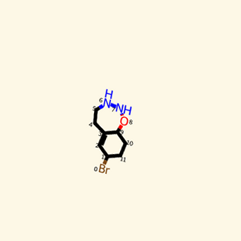 BrC1C=C2CCNNOC2CC1